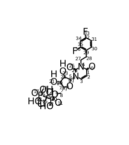 O=c1ccn([C@@H]2O[C@H](COP(=O)(O)C(Cl)(Cl)P(=O)(O)O)[C@H](O)C2O)c(=O)n1CCc1ccc(F)cc1F